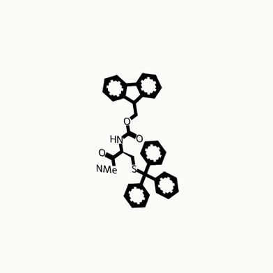 CNC(=O)[C@H](CSC(c1ccccc1)(c1ccccc1)c1ccccc1)NC(=O)OCC1c2ccccc2-c2ccccc21